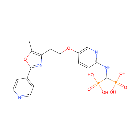 Cc1oc(-c2ccncc2)nc1CCOc1ccc(NC(P(=O)(O)O)P(=O)(O)O)nc1